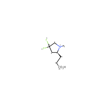 CN1CC(F)(F)C[C@@H]1CCC(=O)O